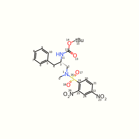 CN(C[C@H](Cc1ccccc1)NC(=O)OC(C)(C)C)S(=O)(=O)c1ccc([N+](=O)[O-])cc1[N+](=O)[O-]